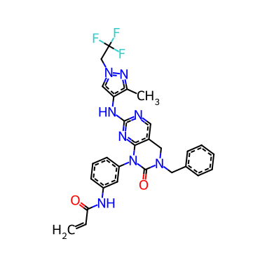 C=CC(=O)Nc1cccc(N2C(=O)N(Cc3ccccc3)Cc3cnc(Nc4cn(CC(F)(F)F)nc4C)nc32)c1